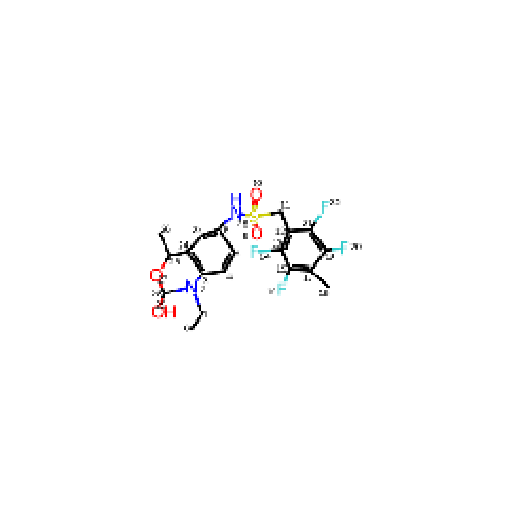 CCN1c2ccc(NS(=O)(=O)Cc3c(F)c(F)c(C)c(F)c3F)cc2C(C)OC1O